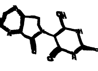 O=C1NC(=O)C(N2Cc3nccnc3C2=O)C(O)N1